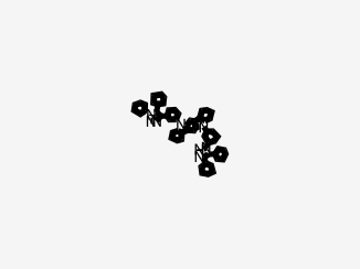 c1ccc(-c2nnn(-c3cccc(-n4c5ccccc5c5cc6c(cc54)c4ccccc4n6-c4cccc(-c5nnn(-c6ccccc6)c5-c5ccccc5)c4)c3)c2-c2ccccc2)cc1